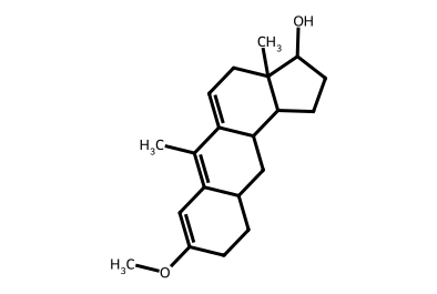 COC1=CC2=C(C)C3=CCC4(C)C(O)CCC4C3CC2CC1